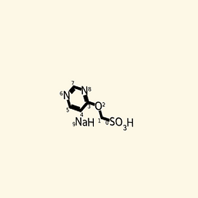 O=S(=O)(O)COc1ccncn1.[NaH]